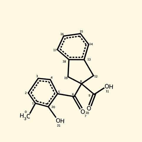 Cc1cccc(C(=O)C2(C(=O)O)Cc3ccccc3C2)c1O